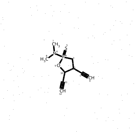 C#CC1CP(=S)(N(C)C)OC1C#C